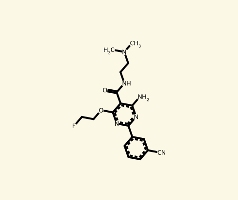 CN(C)CCNC(=O)c1c(N)nc(-c2cccc(C#N)c2)nc1OCCF